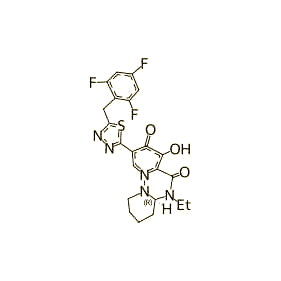 CCN1C(=O)c2c(O)c(=O)c(-c3nnc(Cc4c(F)cc(F)cc4F)s3)cn2N2CCCC[C@H]12